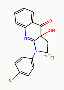 O=C1c2ccccc2N=C2N(c3ccc(Cl)cc3)[C@@H](Cl)CC12O